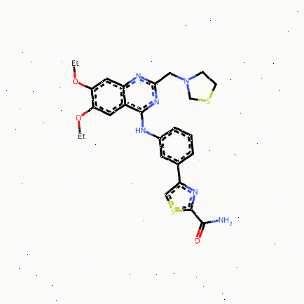 CCOc1cc2nc(CN3CCSC3)nc(Nc3cccc(-c4csc(C(N)=O)n4)c3)c2cc1OCC